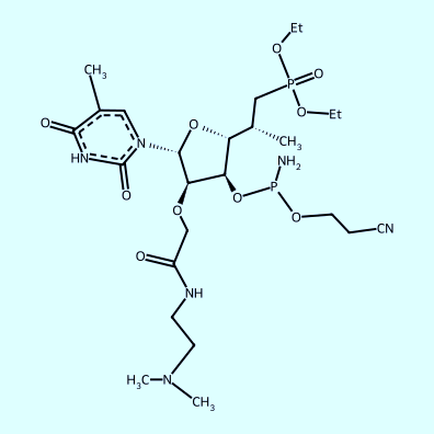 CCOP(=O)(C[C@H](C)[C@H]1O[C@@H](n2cc(C)c(=O)[nH]c2=O)[C@H](OCC(=O)NCCN(C)C)[C@@H]1OP(N)OCCC#N)OCC